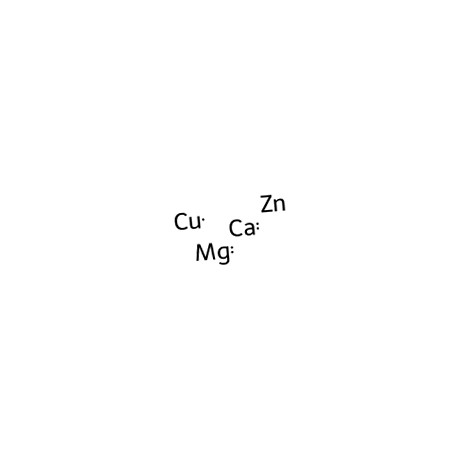 [Ca].[Cu].[Mg].[Zn]